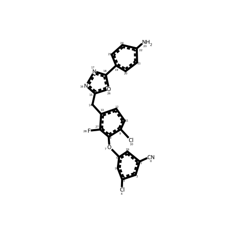 N#Cc1cc(Cl)cc(Oc2c(Cl)ccc(Cc3nnc(-c4ccc(N)cc4)o3)c2F)c1